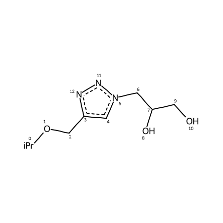 CC(C)OCc1cn(CC(O)CO)nn1